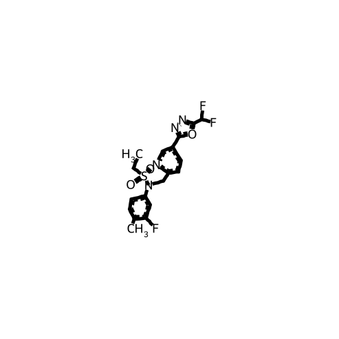 CCS(=O)(=O)N(Cc1ccc(-c2nnc(C(F)F)o2)cn1)c1ccc(C)c(F)c1